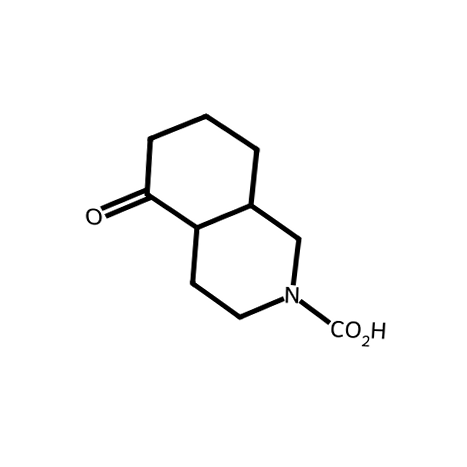 O=C1CCCC2CN(C(=O)O)CCC12